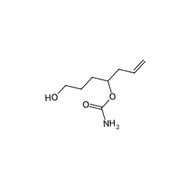 C=CCC(CCCO)OC(N)=O